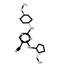 CO[C@H]1CC[C@H](Nc2ncc(C#N)c(NC3CCC[C@@H]3CO)n2)CC1